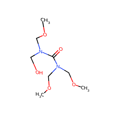 COCN(CO)C(=O)N(COC)COC